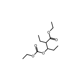 CCOC(=O)OC(CC)C(CC)C(=O)OCC